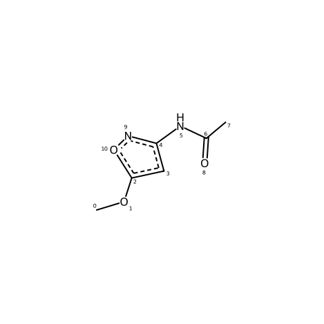 COc1cc(NC(C)=O)no1